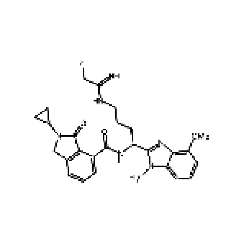 COc1cccc2c1nc([C@H](CCCNC(=N)CCl)NC(=O)c1cccc3c1C(=O)N(C1CC1)C3)n2C